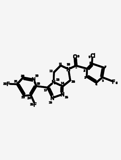 O=C(c1ccc(F)cc1Cl)N1CCn2c(nnc2-c2ncc(F)cc2F)C1